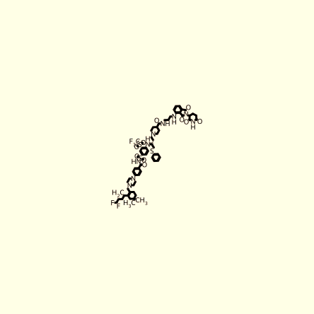 C=C(CCC(F)F)C1=C(CN2CCN(c3ccc(C(=O)NS(=O)(=O)c4ccc(N[C@H](CCN5CCC(C(=O)NCCCNc6cccc7c6C(=O)N(C6CCC(=O)NC6=O)C7=O)CC5)CSc5ccccc5)c(S(=O)(=O)C(F)(F)F)c4)cc3)CC2)CCC(C)(C)C1